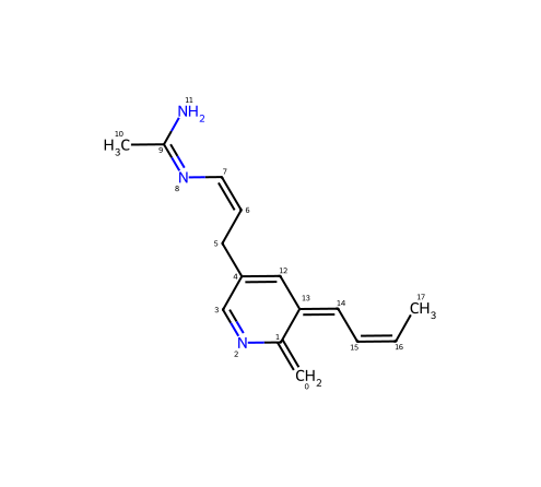 C=c1ncc(C/C=C\N=C(\C)N)c/c1=C/C=C\C